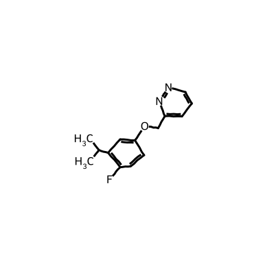 CC(C)c1cc(OCc2cccnn2)ccc1F